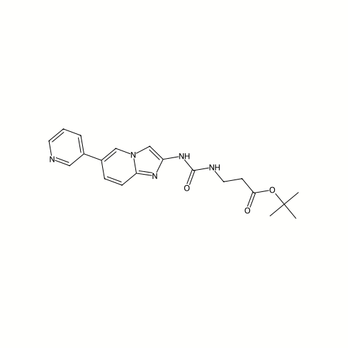 CC(C)(C)OC(=O)CCNC(=O)Nc1cn2cc(-c3cccnc3)ccc2n1